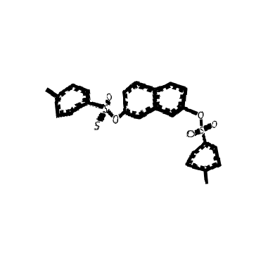 Cc1ccc(S(=O)(=O)Oc2ccc3ccc(OS(=O)(=S)c4ccc(C)cc4)cc3c2)cc1